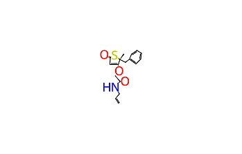 C=CCNC(=O)COC1=CC(=O)S[C@]1(C)Cc1ccccc1